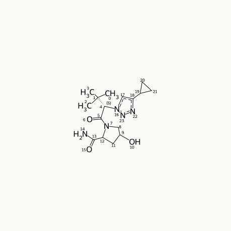 CC(C)(C)[C@@H](C(=O)N1CC(O)CC1C(N)=O)n1cc(C2CC2)nn1